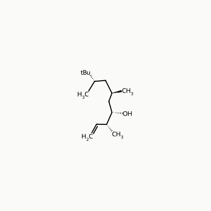 C=C[C@@H](C)[C@@H](O)C[C@H](C)C[C@H](C)C(C)(C)C